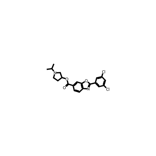 CC(C)N1CCC(OC(=O)c2ccc3nc(-c4cc(Cl)cc(Cl)c4)oc3c2)C1